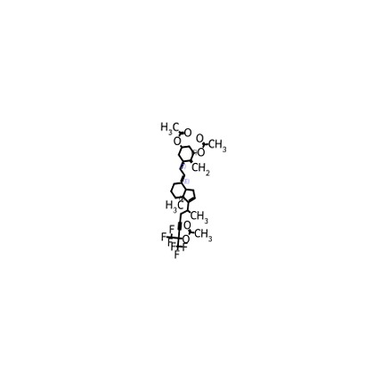 C=C1/C(=C\C=C2/CCC[C@]3(C)C(C(C)CC#CC(OC(C)=O)(C(F)(F)F)C(F)(F)F)=CCC23)CC(OC(C)=O)C[C@@H]1OC(C)=O